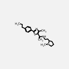 C=C(NCCC1CCCN1C)c1sc(-c2ccc(CCC)cc2)nc1C